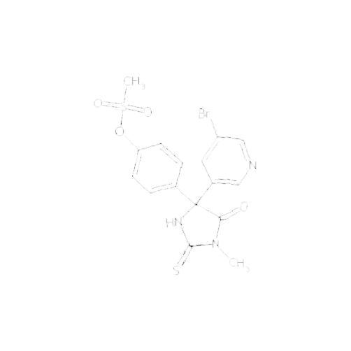 CN1C(=O)C(c2ccc(OS(C)(=O)=O)cc2)(c2cncc(Br)c2)NC1=S